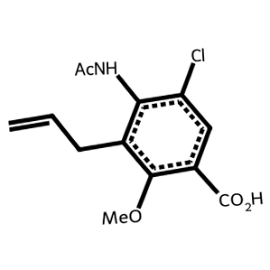 C=CCc1c(NC(C)=O)c(Cl)cc(C(=O)O)c1OC